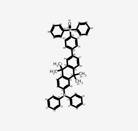 CC1(C)c2ccc(N(c3ccccc3)c3ccccc3)cc2C(C)(C)c2ccc(-c3ccc(P(=O)(c4ccccc4)c4ccccc4)cc3)cc21